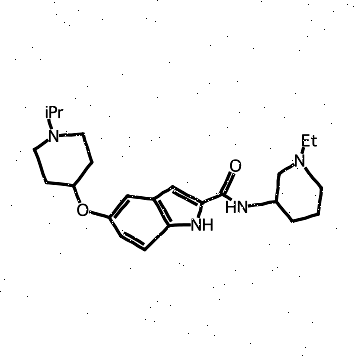 CCN1CCCC(NC(=O)c2cc3cc(OC4CCN(C(C)C)CC4)ccc3[nH]2)C1